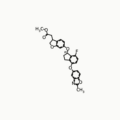 COC(=O)CC1COc2cc(O[C@@H]3CCc4c(Oc5ccc6oc(C)nc6c5)ccc(F)c43)ccc21